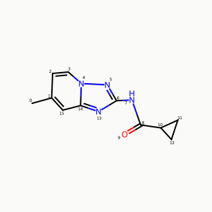 Cc1ccn2nc(NC(=O)C3CC3)nc2c1